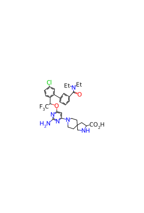 CCN(CC)C(=O)c1cccc(-c2cc(Cl)ccc2C(Oc2cc(N3CCC4(CC3)CNC(C(=O)O)C4)nc(N)n2)C(F)(F)F)c1